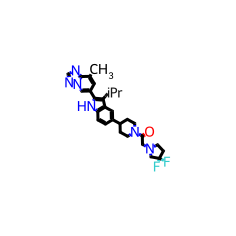 Cc1cc(-c2[nH]c3ccc(C4CCN(C(=O)CN5CCC(F)(F)C5)CC4)cc3c2C(C)C)cn2ncnc12